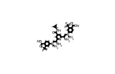 N/C(=C\N(N)c1ccc(C(=O)O)c(C(F)(F)F)c1)c1cc(C(=O)NC2CC2)cc(/C(N)=C/N(N)c2ccc(C(=O)O)c(C(F)(F)F)c2)n1